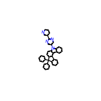 c1ccc(C2(c3ccccc3)c3ccccc3-c3c2ccc2c3c3ccccc3n2-c2cnc(-c3cccnc3)nc2)cc1